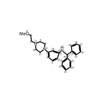 COCCN1CCN(c2cccc(NC(c3ccccc3)c3ccccc3)c2)CC1